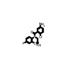 C#CCN(C(=O)c1cc(N)ccc1Cl)c1ccc(F)cc1C#N